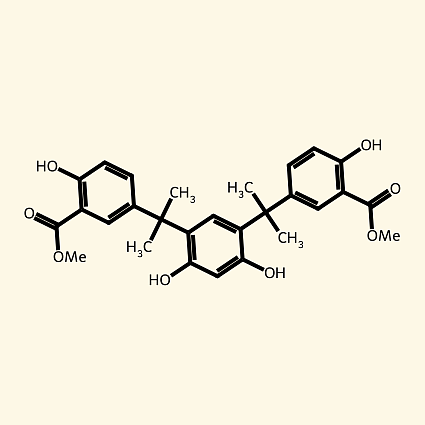 COC(=O)c1cc(C(C)(C)c2cc(C(C)(C)c3ccc(O)c(C(=O)OC)c3)c(O)cc2O)ccc1O